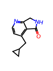 O=C1NCc2nccc(CC3CC3)c21